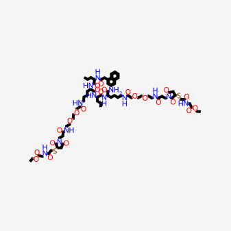 CCCC(NC(=O)Cc1cccc2ccccc12)C(=O)NC(CCCCNC(=O)COCCOCCNC(=O)CCN1C(=O)CC(SCC(=O)NCC(=O)OCC)C1=O)C(=O)NC(CCC)C(=O)NC(CCCCNC(=O)COCCOCCNC(=O)CCN1C(=O)CC(SCC(=O)NCC(=O)OCC)C1=O)C(N)=O